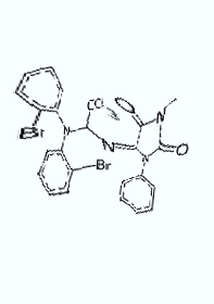 CN1C(=O)C(=NC(N(c2ccccc2Br)c2ccccc2Br)C(Cl)(Cl)Cl)N(c2ccccc2)C1=O